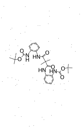 CC(C)(C)OC(=O)Nc1ccccc1NC(=O)C(C)(C)C(=O)Nc1ccccc1NC(=O)OC(C)(C)C